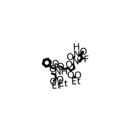 CCOC(OCC)C(C)NP(=O)(OCC1OC(n2cc(F)c(=O)[nH]c2=O)CC1OC(=O)CC)Oc1ccccc1